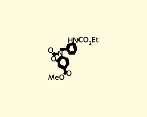 CCOC(=O)Nc1cccc(Cn2c(=O)oc3cc(C(=O)OC)ccc32)c1